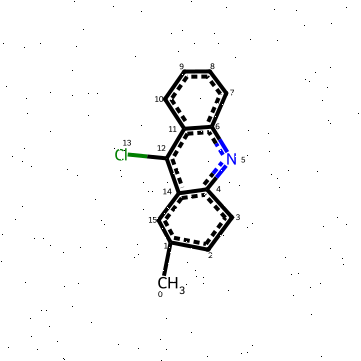 Cc1ccc2nc3ccccc3c(Cl)c2c1